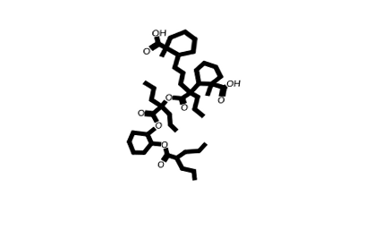 CCCC(CCC)C(=O)OC1CCCCC1OC(=O)C(CCC)(CCC)OC(=O)C(CCC)(CCCC1CCCCC1(C)C(=O)O)C1CCCCC1(C)C(=O)O